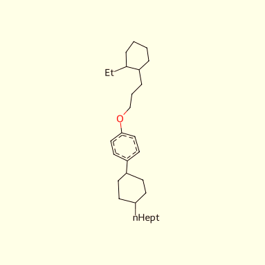 CCCCCCCC1CCC(c2ccc(OCCCC3CCCCC3CC)cc2)CC1